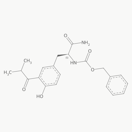 CC(C)C(=O)c1cc(C[C@H](NC(=O)OCc2ccccc2)C(N)=O)ccc1O